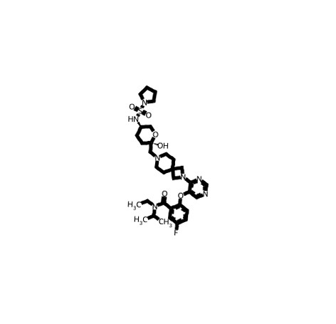 CCN(C(=O)c1cc(F)ccc1Oc1cncnc1N1CC2(CCN(C[C@@]3(O)CC[C@@H](NS(=O)(=O)N4CCCC4)CO3)CC2)C1)C(C)C